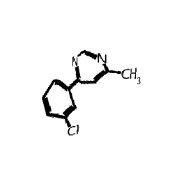 Cc1cc(-c2cccc(Cl)c2)ncn1